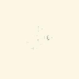 CC(OC1CC1)C(C)(C)OC1CC1